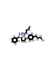 CCCCNP1[C@H](Cc2ccccc2)CC[C@H]1c1ccc(CCCC)cc1